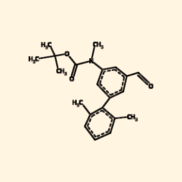 Cc1cccc(C)c1-c1cc(C=O)cc(N(C)C(=O)OC(C)(C)C)c1